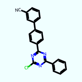 N#Cc1cccc(-c2ccc(-c3nc(Cl)nc(-c4ccccc4)n3)cc2)c1